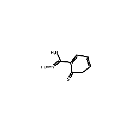 NC(=NO)C1=CC=CCC1=S